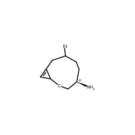 CCC1CC[C@@H](N)CCC2C=C2C1